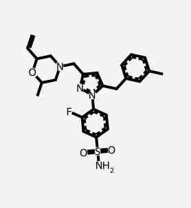 C=CC1CN(Cc2cc(Cc3cccc(C)c3)n(-c3ccc(S(N)(=O)=O)cc3F)n2)CC(C)O1